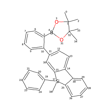 CC1(C)OB(c2ccccc2-c2ccc3c(c2)[Si](C)(c2ccccc2)c2ccccc2-3)OC1(C)C